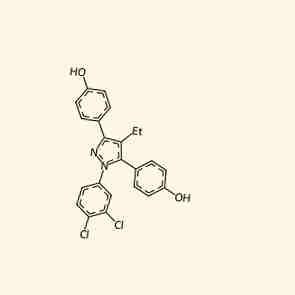 CCc1c(-c2ccc(O)cc2)nn(-c2ccc(Cl)c(Cl)c2)c1-c1ccc(O)cc1